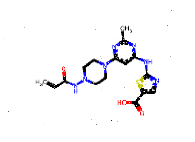 C=CC(=O)NN1CCN(c2cc(Nc3ncc(C(=O)O)s3)nc(C)n2)CC1